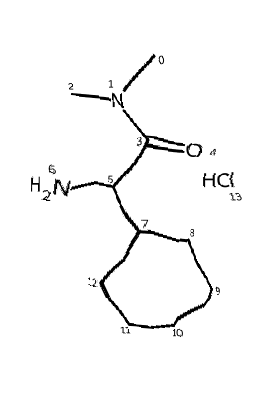 CN(C)C(=O)C(N)C1CCCCC1.Cl